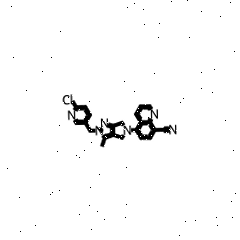 Cc1c2c(nn1Cc1ccc(Cl)nc1)CN(c1ccc(C#N)c3ncccc13)C2